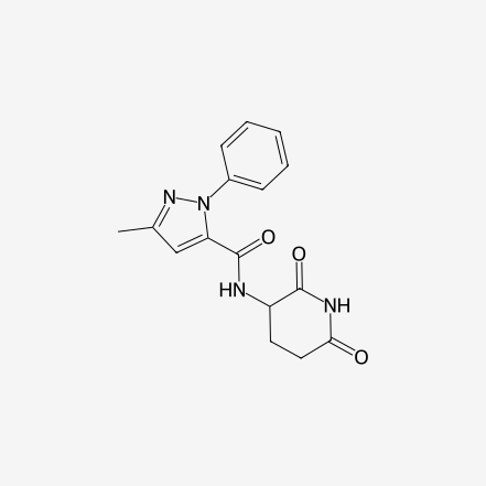 Cc1cc(C(=O)NC2CCC(=O)NC2=O)n(-c2ccccc2)n1